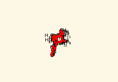 CC[C@H]1OC(=O)[C@H](C)[C@@H](O[C@H]2C[C@@](C)(OC)[C@@H](O)[C@H](C)O2)[C@H](C)[C@@H](O[C@@H]2O[C@H](C)C[C@H](N(C)CCc3nnn(C[C@H]4CN(c5ccc(N6CCOCC6)c(F)c5)C(=O)O4)n3)[C@H]2O)[C@](C)(O)CC(C)CN(C)[C@H](C)[C@@H](O)[C@]1(C)O